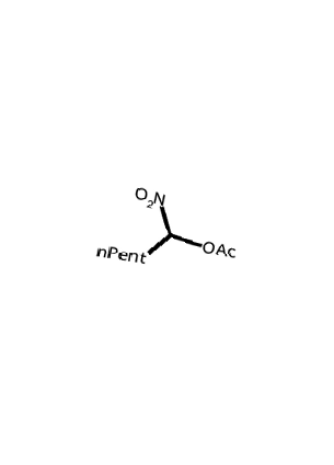 CCCCCC(OC(C)=O)[N+](=O)[O-]